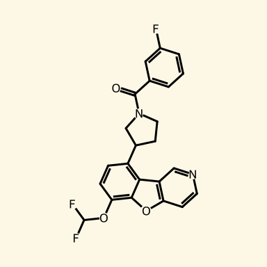 O=C(c1cccc(F)c1)N1CCC(c2ccc(OC(F)F)c3oc4ccncc4c23)C1